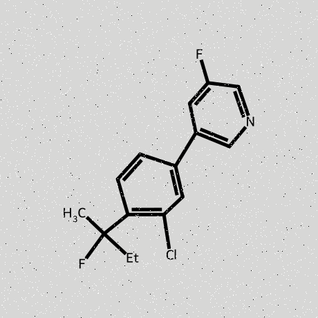 CCC(C)(F)c1ccc(-c2cncc(F)c2)cc1Cl